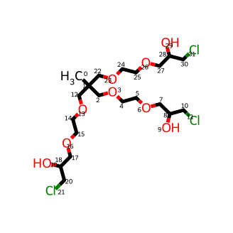 CC(COCCOCC(O)CCl)(COCCOCC(O)CCl)COCCOCC(O)CCl